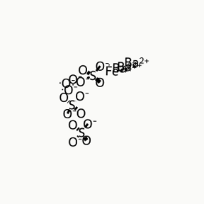 O=S(=O)([O-])[O-].O=S(=O)([O-])[O-].O=S(=O)([O-])[O-].[Ba+2].[Ba+2].[Ba+2].[Fe+3].[O-].[O-].[O-]